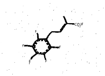 C/C(=C\Cc1c(F)c(F)c(F)c(F)c1F)C(=O)O